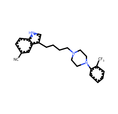 N#Cc1ccc2[nH]cc(CCCCN3CCN(c4ccccc4C(F)(F)F)CC3)c2c1